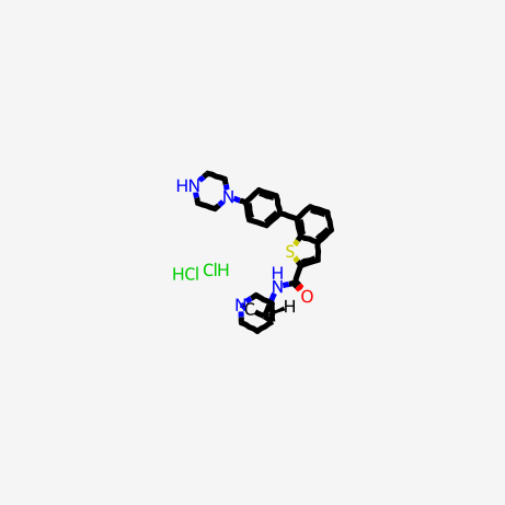 Cl.Cl.O=C(N[C@H]1CN2CCC1CC2)c1cc2cccc(-c3ccc(N4CCNCC4)cc3)c2s1